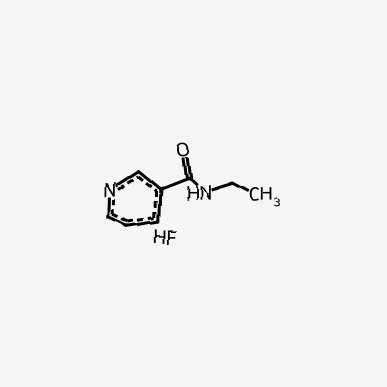 CCNC(=O)c1cccnc1.F